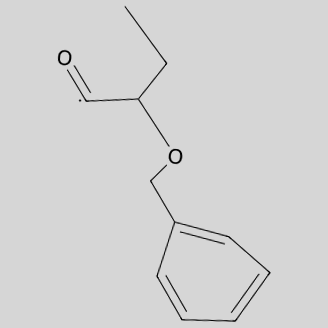 CCC([C]=O)OCc1ccccc1